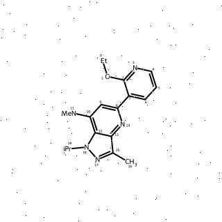 CCOc1ncccc1-c1cc(NC)c2c(n1)c(C)nn2C(C)C